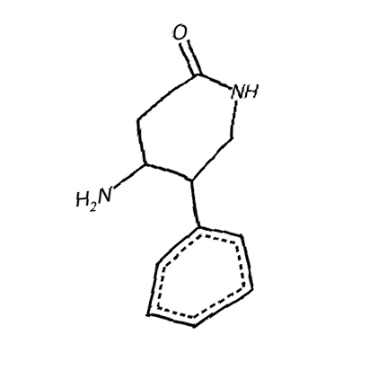 NC1CC(=O)NCC1c1ccccc1